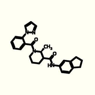 C[C@H]1C(C(=O)Nc2ccc3c(c2)CCC3)CCCN1C(=O)c1ccccc1-n1cccn1